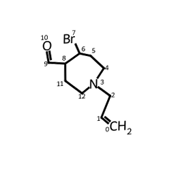 C=CCN1CCC(Br)C(C=O)CC1